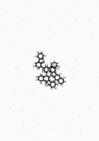 c1ccc(-c2nc(-c3c(-n4c5ccccc5c5cc6ccccc6cc54)c4c5ccccc5oc4c4ccccc34)nc(-c3cccc4c3sc3ccccc34)n2)cc1